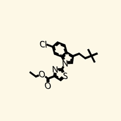 CCOC(=O)c1csc(-n2cc(CCC(C)(C)C)c3ccc(Cl)cc32)n1